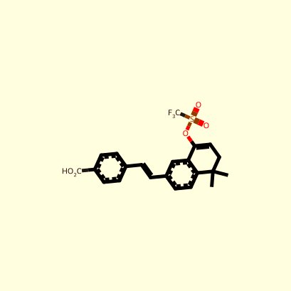 CC1(C)CC=C(OS(=O)(=O)C(F)(F)F)c2cc(C=Cc3ccc(C(=O)O)cc3)ccc21